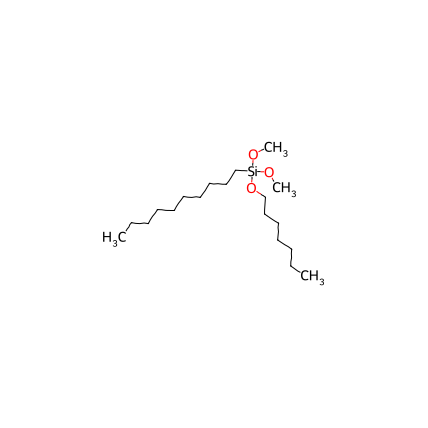 CCCCCCCCCC[Si](OC)(OC)OCCCCCCC